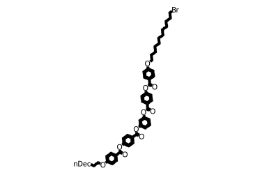 CCCCCCCCCCCCOc1ccc(C(=O)Oc2ccc(C(=O)Oc3cccc(OC(=O)c4ccc(OC(=O)c5ccc(OCCCCCCCCCCCCBr)cc5)cc4)c3)cc2)cc1